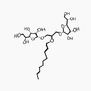 CCCCCCCCCCOC(CO[C@@H]1O[C@H]([C@@H](O)CO)[C@H](O)[C@@H]1O)CO[C@@H]1O[C@H]([C@@H](O)CO)[C@H](O)[C@@H]1O